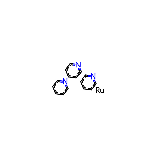 [Ru].c1ccncc1.c1ccncc1.c1ccncc1